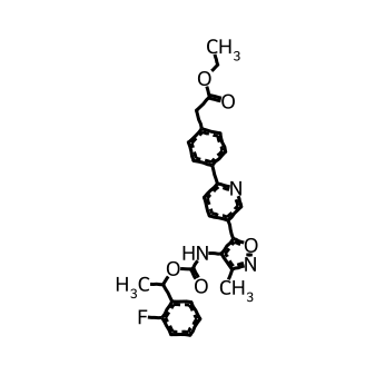 CCOC(=O)Cc1ccc(-c2ccc(-c3onc(C)c3NC(=O)OC(C)c3ccccc3F)cn2)cc1